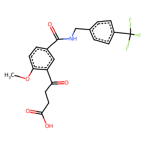 COc1ccc(C(=O)NCc2ccc(C(F)(F)F)cc2)cc1C(=O)CCC(=O)O